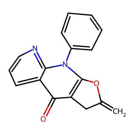 C=C1Cc2c(n(-c3ccccc3)c3ncccc3c2=O)O1